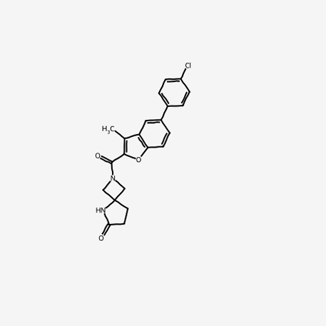 Cc1c(C(=O)N2CC3(CCC(=O)N3)C2)oc2ccc(-c3ccc(Cl)cc3)cc12